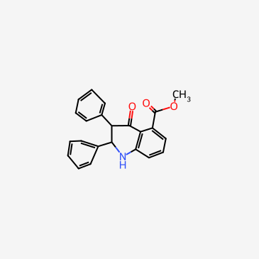 COC(=O)c1cccc2c1C(=O)C(c1ccccc1)C(c1ccccc1)N2